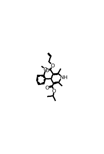 C=CCOC(=O)C1=C(C)NC(C)=C(C(=O)OC(C)C)C1c1ccccc1OC